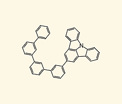 c1ccc(-c2cccc(-c3cccc(-c4cccc(-c5cc6c7ccccc7n7c8ccccc8c(c5)c67)c4)c3)c2)cc1